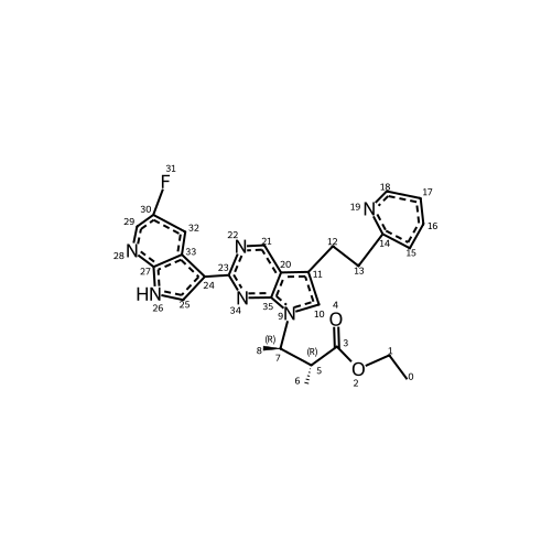 CCOC(=O)[C@H](C)[C@@H](C)n1cc(CCc2ccccn2)c2cnc(-c3c[nH]c4ncc(F)cc34)nc21